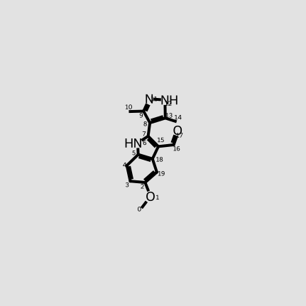 COc1ccc2[nH]c(-c3c(C)n[nH]c3C)c(C=O)c2c1